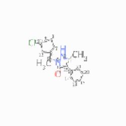 Cc1[nH]n(C(C)c2cccc(Cl)c2)c(=O)c1-c1ccccc1